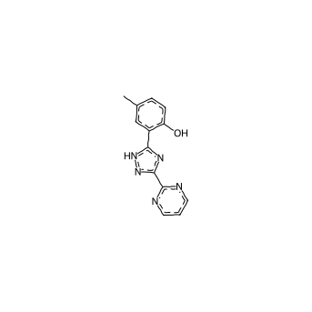 Cc1ccc(O)c(-c2nc(-c3ncccn3)n[nH]2)c1